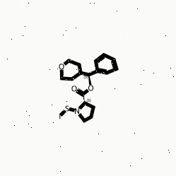 O=C(O[C@H](c1ccccc1)C1CCOCC1)[C@@H]1CCCN1SI